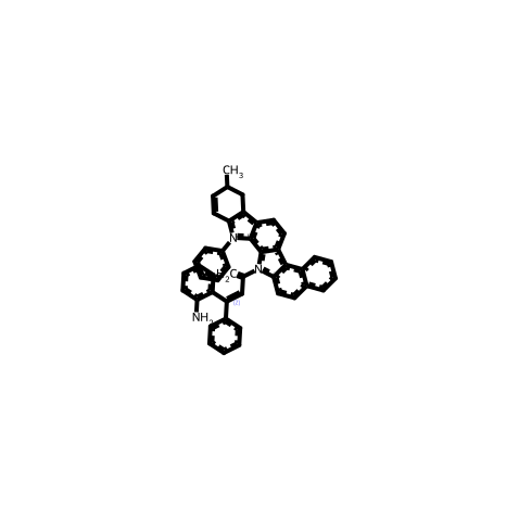 C=C(/C=C(/c1ccccc1)c1ccccc1N)n1c2ccc3ccccc3c2c2ccc3c4c(n(-c5ccccc5)c3c21)C=CC(C)C4